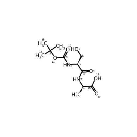 C[C@@H](NC(=O)[C@H](CO)NC(=O)OC(C)(C)C)C(=O)O